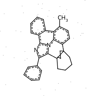 Cc1ccc2c3c1c1ccccc1c1nc(-c4ccccc4)c(n13)C13CCCCC21CCC3